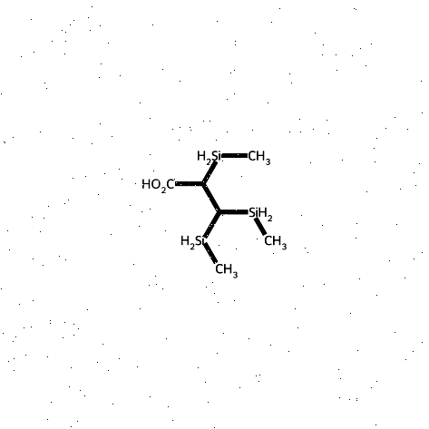 C[SiH2]C([SiH2]C)C([SiH2]C)C(=O)O